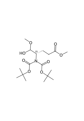 COC(=O)CC[C@@H](C(O)OC)N(C(=O)OC(C)(C)C)C(=O)OC(C)(C)C